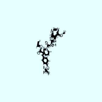 CCOC(=O)C1(Cc2ccc(OC(F)(F)F)cc2)CCCN(C(=O)Nc2nc3c(OC)ncnc3s2)C1